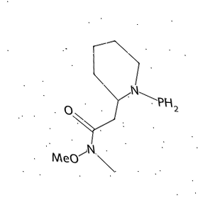 CON(C)C(=O)CC1CCCCN1P